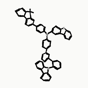 CC1(C)c2ccccc2-c2ccc(-c3ccc(N(c4ccc(-c5cccc(-c6ccccc6-n6c7ccccc7c7ccccc76)c5)cc4)c4ccc5sc6ccccc6c5c4)cc3)cc21